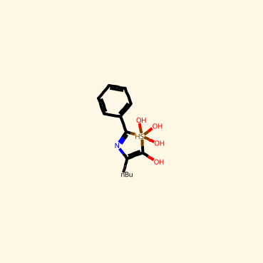 CCCCC1=C(O)[SH](O)(O)(O)C(c2ccccc2)=N1